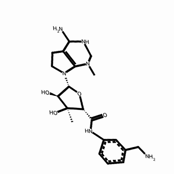 CN1CNC(N)C2=C1N([C@@H]1O[C@H](C(=O)Nc3cccc(CN)c3)[C@@](C)(O)[C@H]1O)CC2